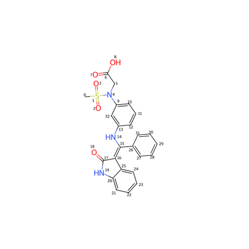 CS(=O)(=O)N(CC(=O)O)c1cccc(N/C(=C2\C(=O)Nc3ccccc32)c2ccccc2)c1